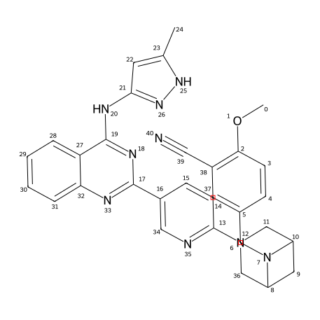 COc1ccc(CN2C3CC2CN(c2ccc(-c4nc(Nc5cc(C)[nH]n5)c5ccccc5n4)cn2)C3)cc1C#N